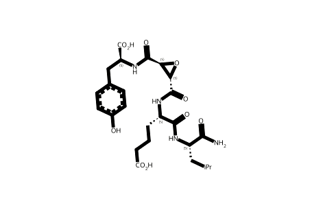 CC(C)C[C@H](NC(=O)[C@H](CCCC(=O)O)NC(=O)[C@H]1O[C@@H]1C(=O)N[C@@H](Cc1ccc(O)cc1)C(=O)O)C(N)=O